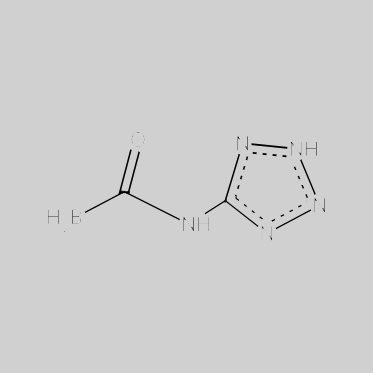 BC(=O)Nc1nn[nH]n1